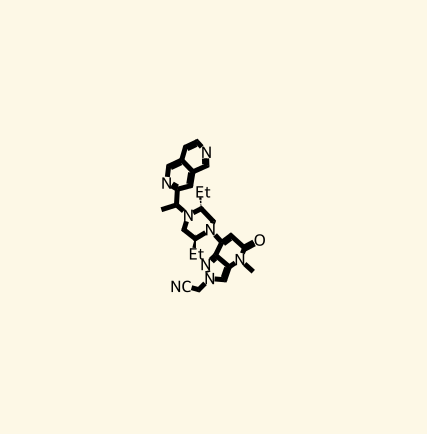 CC[C@H]1CN(C(C)c2cc3cnccc3cn2)[C@H](CC)CN1c1cc(=O)n(C)c2cn(CC#N)nc12